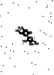 Nc1nc(=O)n([C@@H]2O[C@H](CO)C(O)[C@@H]2O)cc1CO